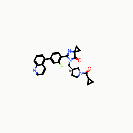 O=C(C1CC1)N1CC[C@@H](CN2C(=O)C3(CC3)N=C2c2ccc(-c3cccc4ncccc34)cc2F)C1